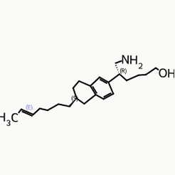 C/C=C/CCCC[C@H]1CCc2cc([C@H](CN)CCCCO)ccc2C1